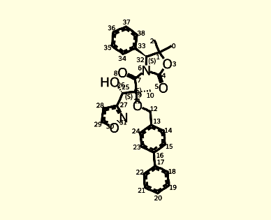 CC1(C)OC(=O)N(C(=O)[C@@](C)(OCc2ccc(-c3ccccc3)cc2)[C@@H](O)c2ccon2)[C@H]1c1ccccc1